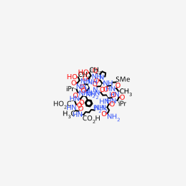 CSCC[C@H](NC(=O)[C@H](C)NC(=O)[C@@H](NC(=O)[C@H](CCC(N)=O)NC(=O)[C@@H](N)CC(N)=O)C(C)C)C(=O)N[C@@H](CC(N)=O)C(=O)N1CCC[C@H]1C(=O)N[C@H](C(=O)N[C@@H](CC(N)=O)C(=O)N[C@H](C(=O)N[C@H](C(=O)N[C@@H](Cc1ccccc1)C(=O)N[C@@H](CC(=O)O)C(=O)N[C@@H](C)C(=O)N[C@@H](CCCCN)C(=O)O)C(C)C)[C@@H](C)O)[C@@H](C)O